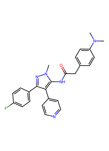 CN(C)c1ccc(CC(=O)Nc2c(-c3ccncc3)c(-c3ccc(F)cc3)nn2C)cc1